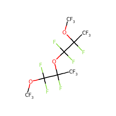 FC(F)(F)OC(F)(F)C(F)(OC(F)(F)C(F)(OC(F)(F)F)C(F)(F)F)C(F)(F)F